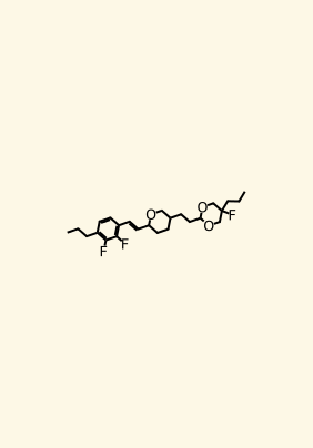 CCCc1ccc(/C=C/C2CCC(CCC3OCC(F)(CCC)CO3)CO2)c(F)c1F